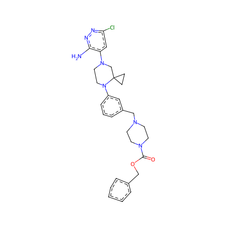 Nc1nnc(Cl)cc1N1CCN(c2cccc(CN3CCN(C(=O)OCc4ccccc4)CC3)c2)C2(CC2)C1